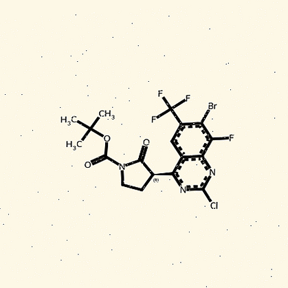 CC(C)(C)OC(=O)N1CC[C@H](c2nc(Cl)nc3c(F)c(Br)c(C(F)(F)F)cc23)C1=O